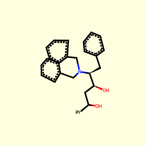 CC(C)C(O)C[C@H](O)[C@H](Cc1ccccc1)N(Cc1ccccc1)Cc1ccccc1